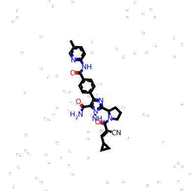 Cc1ccc(NC(=O)c2ccc(-c3nc(C4CCCN4C(=O)/C(C#N)=C/C4CC4)n(N)c3C(N)=O)cc2)nc1